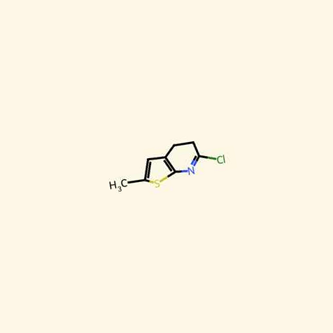 Cc1cc2c(s1)N=C(Cl)CC2